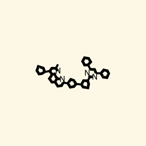 Cc1cc(-c2ccccc2)c2ccc3ccc(-c4ccc(-c5cccc(-c6nc(-c7ccccc7)cc(-c7ccccc7)n6)c5)cc4)nc3c2n1